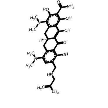 C=C(C)CNCc1cc(N(C)C)c2c(c1O)C(=O)C1=C(O)c3c(O)c(C(N)=O)c(O)c(N(C)C)c3C[C@@H]1C2